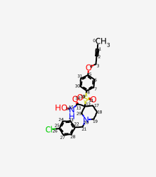 CC#CCOc1ccc(S(=O)(=O)C2(C(=O)NO)CCCN(Cc3ccc(Cl)cc3)C2)cc1